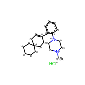 CCCCN1CCN(c2ccccc2C2=CCC3(CCCCC3)CC2)CC1.Cl